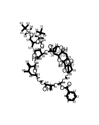 C=C1C[C@@H](OC(=O)c2ccccc2)CC[C@@]23CC4OC5C(O2)[C@H]2OC(CCC2O[C@H]5C4O3)CC(=O)CC2[C@H](CC3OC(CCC1O)CC(C)C3=C)O[C@H](CC(CO[Si](C)(C)C(C)(C)C)O[Si](C)(C)C(C)(C)C)[C@@H]2OC